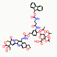 CC[C@@]1(O)C(=O)OCc2c1cc1n(c2=O)Cc2c-1nc1cc3c(cc1c2CNC(=O)OCc1ccc(O[C@@H]2O[C@H](C(=O)O)[C@@H](OC(C)=O)[C@H](OC(C)=O)[C@H]2OC(C)=O)c(NC(=O)CCNC(=O)OCC2c4ccccc4-c4ccccc42)c1)CCO3